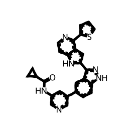 O=C(Nc1cncc(-c2ccc3[nH]nc(-c4cc5c(-c6cccs6)nccc5[nH]4)c3c2)c1)C1CC1